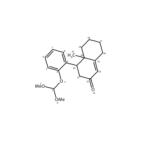 COC(OC)Oc1ccccc1C1CC(=O)C=C2CCCCC21C